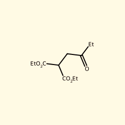 CCOC(=O)C(CC(=O)CC)C(=O)OCC